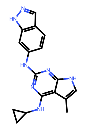 Cc1c[nH]c2nc(Nc3ccc4cn[nH]c4c3)nc(NC3CC3)c12